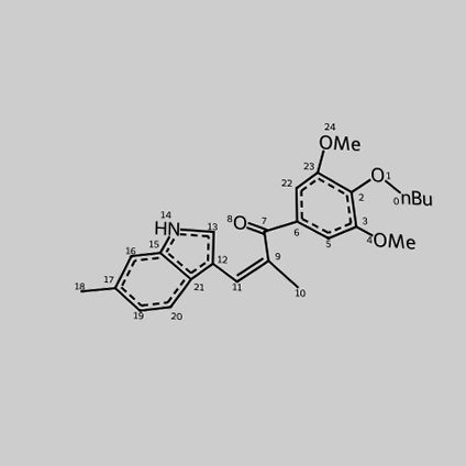 CCCCOc1c(OC)cc(C(=O)C(C)=Cc2c[nH]c3cc(C)ccc23)cc1OC